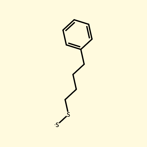 [S]SCCCCc1ccccc1